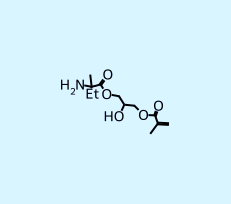 C=C(C)C(=O)OCC(O)COC(=O)C(C)(N)CC